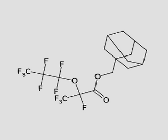 O=C(OCC12CC3CC(CC(C3)C1)C2)C(F)(OC(F)(F)C(F)(F)C(F)(F)F)C(F)(F)F